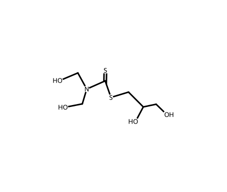 OCC(O)CSC(=S)N(CO)CO